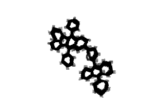 c1ccc(-c2c3c(c(-c4ccccc4)c4cc(-c5ccc(-c6c7ccccc7c(-c7ccccc7)c7ccccc67)o5)ccc24)-c2cccc4cccc-3c24)cc1